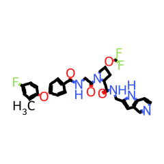 Cc1cc(F)ccc1Oc1ccc(C(=O)NCC(=O)N2C[C@H](OC(F)F)CC2C(=O)NCc2cc3cnccc3[nH]2)cc1